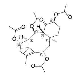 C=C1[C@@H](OC(C)=O)CC[C@@]2(C)C[C@H](OC(C)=O)C3=C(C)C[C@H](OC(C)=O)[C@@H]([C@@H](OC(C)=O)[C@H]12)C3(C)C